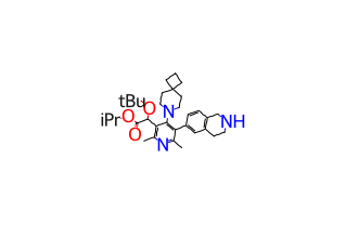 Cc1nc(C)c([C@H](OC(C)(C)C)C(=O)OC(C)C)c(N2CCC3(CCC3)CC2)c1-c1ccc2c(c1)CCNC2